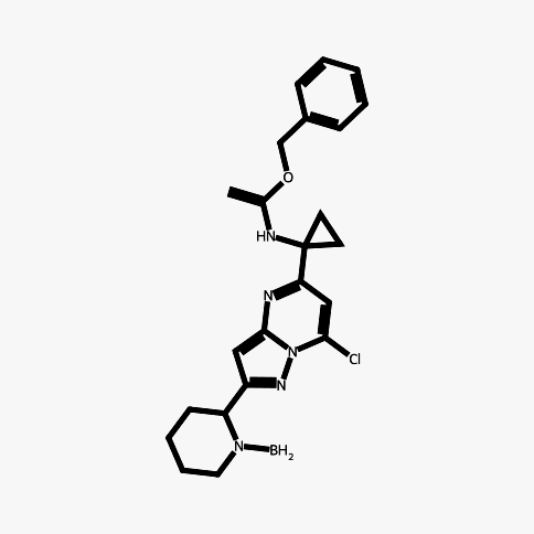 BN1CCCCC1c1cc2nc(C3(NC(=C)OCc4ccccc4)CC3)cc(Cl)n2n1